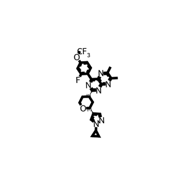 Cc1nc2nc([C@H]3CCO[C@@H](c4cnn(C5CC5)c4)C3)nc(-c3ccc(OC(F)(F)F)cc3F)c2nc1C